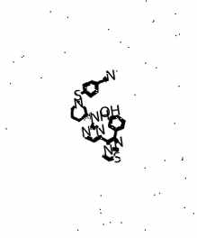 N#Cc1ccc(SN2CCC[C@@H](Nc3nccc(-c4c(-c5cccc(O)c5)nc5sccn45)n3)C2)cc1